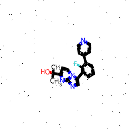 CC(C)(O)c1ccn2c(-c3cccc(-c4ccncc4)c3F)cnc2n1